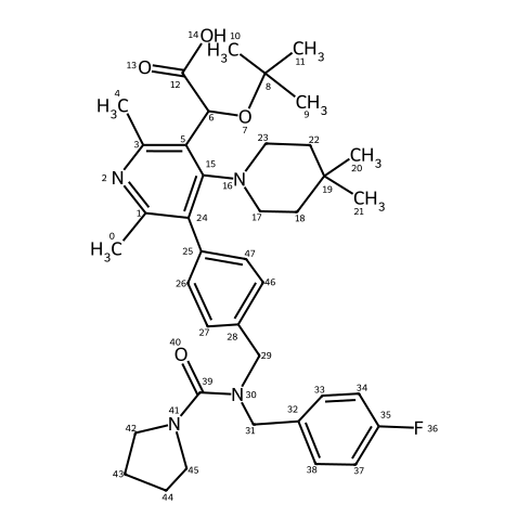 Cc1nc(C)c(C(OC(C)(C)C)C(=O)O)c(N2CCC(C)(C)CC2)c1-c1ccc(CN(Cc2ccc(F)cc2)C(=O)N2CCCC2)cc1